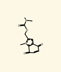 CN(C)C(=O)OCc1cc2c(n1C)C(=O)C=CC2=O